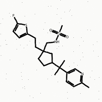 Cc1ccc(C(C)(C)C2CCC(CCc3ccc(F)s3)(CNS(C)(=O)=O)C2)cn1